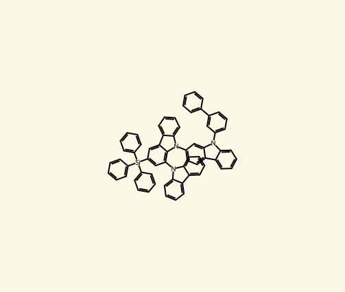 c1ccc(-c2cccc(-n3c4ccccc4c4ccc(-n5c6ccccc6c6cc([Si](c7ccccc7)(c7ccccc7)c7ccccc7)cc(-n7c8ccccc8c8ccccc87)c65)cc43)c2)cc1